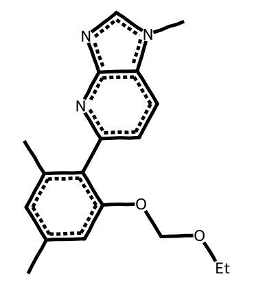 CCOCOc1cc(C)cc(C)c1-c1ccc2c(ncn2C)n1